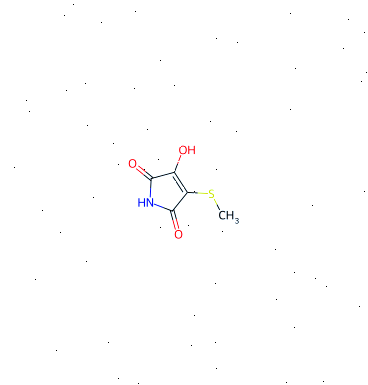 CSC1=C(O)C(=O)NC1=O